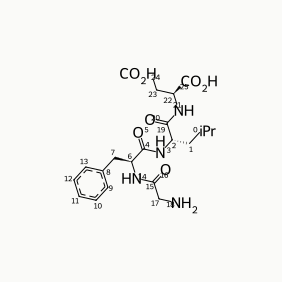 CC(C)C[C@H](NC(=O)[C@H](Cc1ccccc1)NC(=O)CN)C(=O)N[C@@H](CC(=O)O)C(=O)O